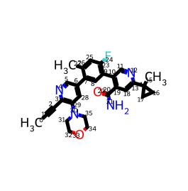 CC#Cc1ncc(-c2cc(-c3cnc(C4(C)CC4)cc3C(N)=O)c(F)cc2C)cc1N1CCOCC1